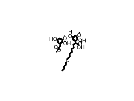 CCCCCCCCCCCCCC(C(=O)O)c1cc(O)cc(OC)c1O.COC(=O)Cc1cc(O)cc(OC)c1O